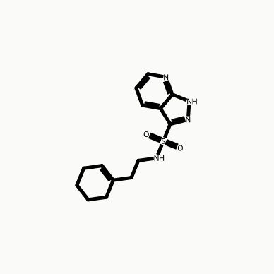 O=S(=O)(NCCC1=CCCCC1)c1n[nH]c2ncccc12